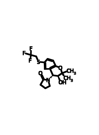 CC1(C)Oc2ccc(SCC(F)(F)F)cc2[C@@H](N2CCCC2=O)[C@@H]1O